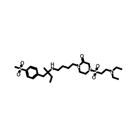 CCN(CC)CCS(=O)(=O)N1CCN(CCCCNC(C)(CC)Cc2ccc(S(C)(=O)=O)cc2)C(=O)C1